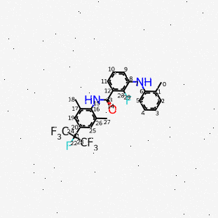 Cc1ccccc1Nc1cccc(C(=O)Nc2c(C)cc(C(F)(C(F)(F)F)C(F)(F)F)cc2C)c1F